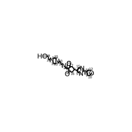 O=C1CC(c2cnc(N3CCOCC3)nc2)CC(=O)C1=CNCCN1CCN(CCO)CC1